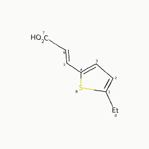 CCc1ccc(C=CC(=O)O)s1